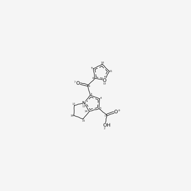 O=C(O)c1cc(C(=O)c2ccco2)n2c1CCC2